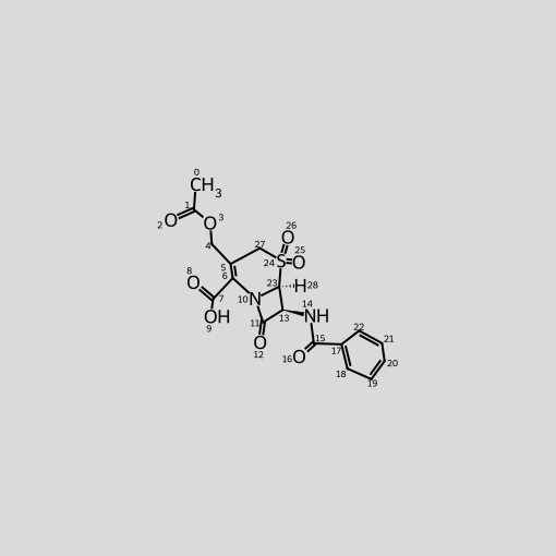 CC(=O)OCC1=C(C(=O)O)N2C(=O)[C@H](NC(=O)c3ccccc3)[C@@H]2S(=O)(=O)C1